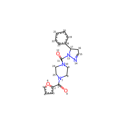 O=C(c1ccco1)N1CCN(C(=O)N2N=CCC2c2ccccc2)CC1